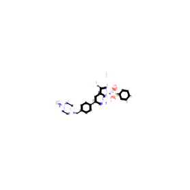 Cc1c(I)c2cc(-c3ccc(CN4CCN(C)CC4)cc3)cnc2n1S(=O)(=O)c1ccccc1